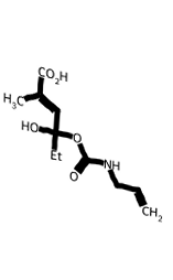 C=CCNC(=O)OC(O)(C=C(C)C(=O)O)CC